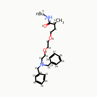 CCCCNC(=O)C(C)CCOCCOCCN(Cc1ccccc1)Cc1ccccc1